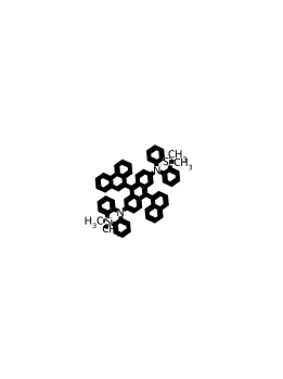 C[Si]1(C)c2ccccc2N(c2ccc3c(-c4cc5ccccc5c5ccccc45)c4cc(N5c6ccccc6[Si](C)(C)c6ccccc65)ccc4c(-c4cccc5ccccc45)c3c2)c2ccccc21